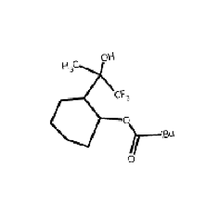 CCC(C)C(=O)OC1CCCCC1C(C)(O)C(F)(F)F